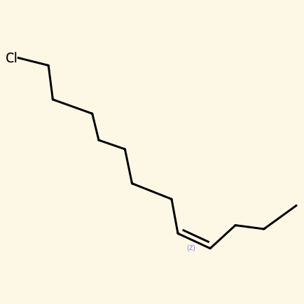 CCC/C=C\CCCCCCCCl